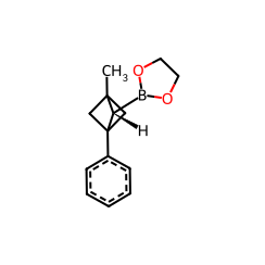 CC12CC(c3ccccc3)(C1)[C@H]2B1OCCO1